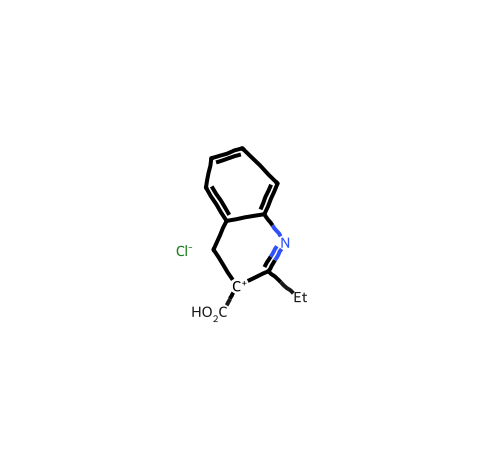 CCC1=Nc2ccccc2C[C+]1C(=O)O.[Cl-]